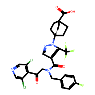 O=C(CN(Cc1ccc(F)cc1)C(=O)c1cnn(C23CCC(C(=O)O)(CC2)CC3)c1C(F)(F)F)c1c(Cl)cncc1Cl